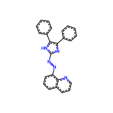 c1ccc(-c2nc(N=Nc3cccc4cccnc34)[nH]c2-c2ccccc2)cc1